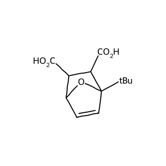 CC(C)(C)C12C=CC(O1)C(C(=O)O)C2C(=O)O